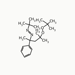 CC(C)(C)N=NC(C)(CC(C)(C)OOC(C)(C)C)c1ccccc1